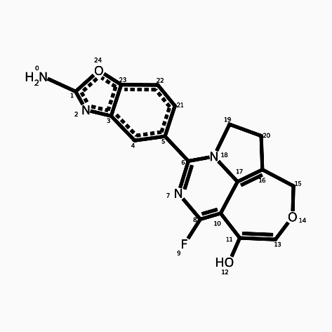 Nc1nc2cc(C3=NC(F)=C4C(O)=COCC5=C4N3CC5)ccc2o1